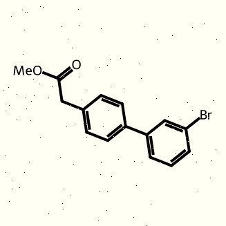 COC(=O)Cc1ccc(-c2cccc(Br)c2)cc1